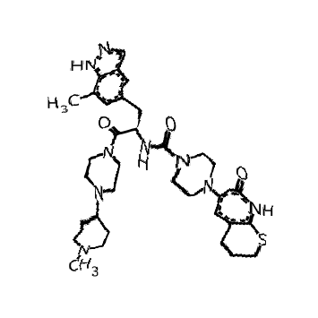 Cc1cc(C[C@@H](NC(=O)N2CCN(c3cc4c([nH]c3=O)SCCC4)CC2)C(=O)N2CCN(C3CCN(C)CC3)CC2)cc2cn[nH]c12